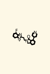 Cn1c(CCN2Cc3cccc(-c4ccncc4)c3C2=O)nc2c(F)cccc21